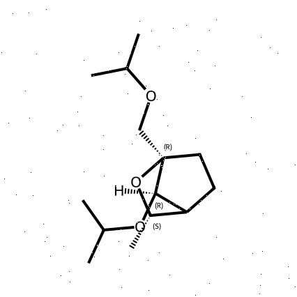 CC(C)OC[C@@]12CCC([C@H](C)O1)[C@H]2OC(C)C